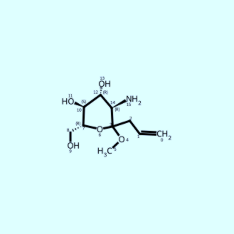 C=CCC1(OC)O[C@H](CO)[C@@H](O)[C@H](O)[C@H]1N